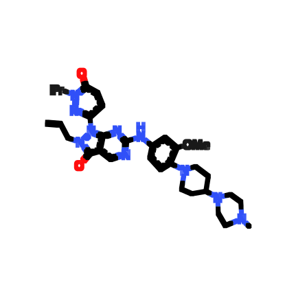 C=CCn1c(=O)c2cnc(Nc3ccc(N4CCC(N5CCN(C)CC5)CC4)c(OC)c3)nc2n1-c1ccc(=O)n(C(C)C)n1